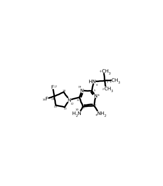 CC(C)(C)Nc1nc(N)c(N)c(N2CCC(F)(F)C2)n1